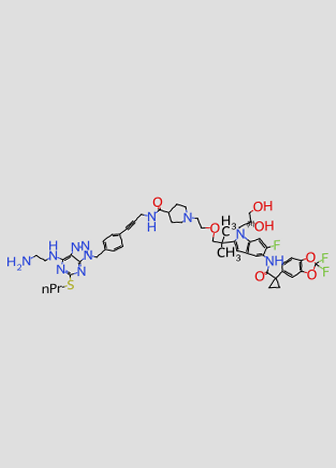 CCCSc1nc(NCCN)c2nnn(Cc3ccc(C#CCNC(=O)C4CCN(CCOCC(C)(C)c5cc6cc(NC(=O)C7(c8ccc9c(c8)OC(F)(F)O9)CC7)c(F)cc6n5C[C@@H](O)CO)CC4)cc3)c2n1